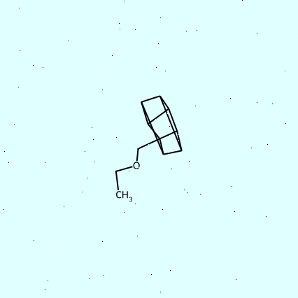 CCOCC12C3C4C5C3C1C5C42